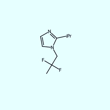 CC(C)c1nccn1CC(C)(F)F